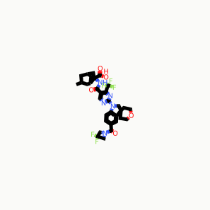 CC1CC2CC(C1)C(NC(=O)c1cnc(N3CC4(CCOCC4)c4cc(C(=O)N5CC(F)(F)C5)ccc43)nc1C(F)(F)F)(C(=O)O)C2